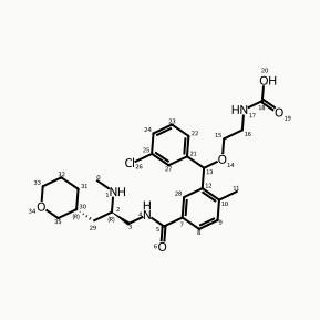 CN[C@@H](CNC(=O)c1ccc(C)c(C(OCCNC(=O)O)c2cccc(Cl)c2)c1)C[C@H]1CCCOC1